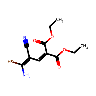 CCOC(=O)C(=C/C(C#N)=C(\N)S)C(=O)OCC